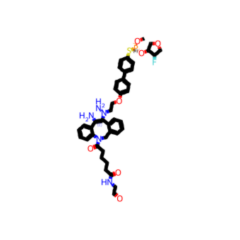 CO[P@@](OC1COCC1F)Sc1ccc(-c2ccc(OCCN(N)/C3=C(\N)c4ccccc4N(C(=O)CCCCC(=O)NCC=O)Cc4ccccc43)cc2)cc1